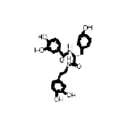 O=C(N[C@H](Cc1ccc(O)cc1)C(=O)NCCc1ccc(O)c(O)c1)c1ccc(O)c(O)c1